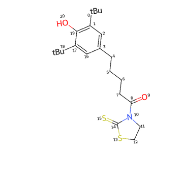 CC(C)(C)c1cc(CCCCC(=O)N2CCSC2=S)cc(C(C)(C)C)c1O